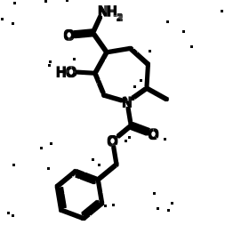 CC1CCC(C(N)=O)C(O)CN1C(=O)OCc1ccccc1